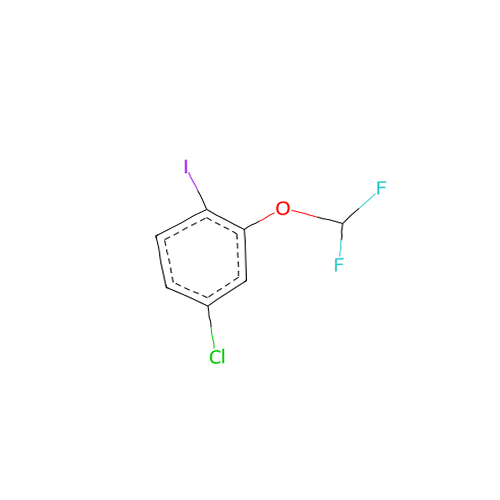 FC(F)Oc1cc(Cl)ccc1I